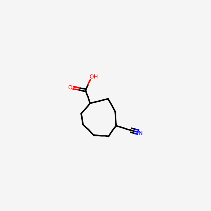 N#CC1CCCCC(C(=O)O)CC1